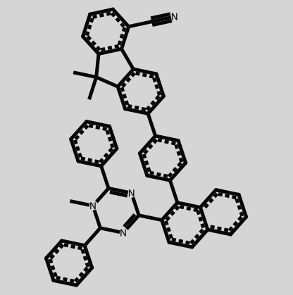 CN1C(c2ccccc2)=NC(c2ccc3ccccc3c2-c2ccc(-c3ccc4c(c3)C(C)(C)c3cccc(C#N)c3-4)cc2)=NC1c1ccccc1